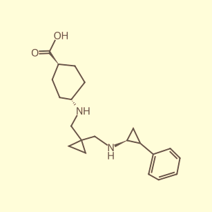 O=C(O)[C@H]1CC[C@H](NCC2(CN[C@H]3CC3c3ccccc3)CC2)CC1